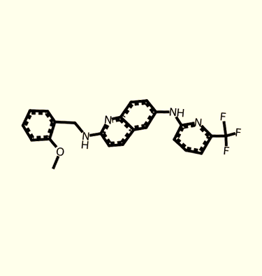 COc1ccccc1CNc1ccc2cc(Nc3cccc(C(F)(F)F)n3)ccc2n1